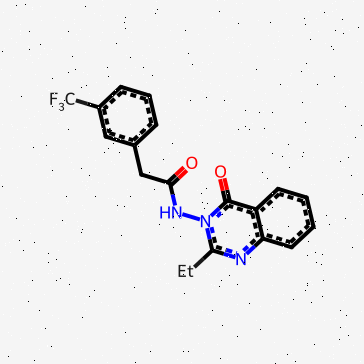 CCc1nc2ccccc2c(=O)n1NC(=O)Cc1cccc(C(F)(F)F)c1